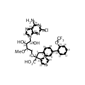 CO[C@H](CO[C@@](Cc1ccc(-c2ccccc2OC(F)(F)F)cc1)(C(=O)O)c1cscn1)[C@@H](O)[C@@H](O)n1cnc2c(N)nc(Cl)nc21